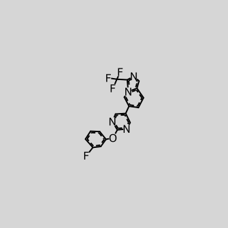 Fc1cccc(Oc2ncc(-c3ccc4cnc(C(F)(F)F)n4c3)cn2)c1